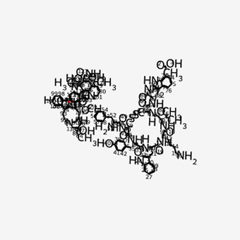 CC(=O)O.CC(C)[C@@H]1NC(=O)[C@H](CCCCN)NC(=O)[C@@H](Cc2c[nH]c3ccccc23)NC(=O)[C@H](Cc2ccc(O)cc2)NC(=O)[C@@H](NC(=O)[C@H](N)Cc2ccccc2)CSSC[C@@H](C(=O)N[C@@H](Cc2c[nH]c3ccccc23)C(N)=O)NC1=O.CC[C@]1(O)C[C@H]2C[N@](CCc3c([nH]c4ccccc34)[C@@](C(=O)OC)(c3cc4c(cc3OC)N(C)[C@H]3[C@@](O)(C(N)=O)[C@H](O)[C@]5(CC)C=CCN6CC[C@]43[C@@H]65)C2)C1